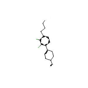 C=CC1CC=C(c2ccc(CCCC)c(F)c2Cl)CC1